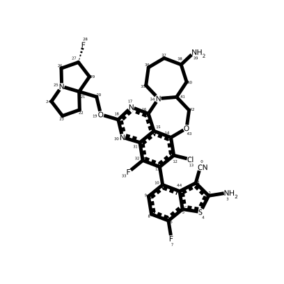 N#Cc1c(N)sc2c(F)ccc(-c3c(Cl)c4c5c(nc(OCC67CCCN6C[C@H](F)C7)nc5c3F)N3CCCC(N)CC3CO4)c12